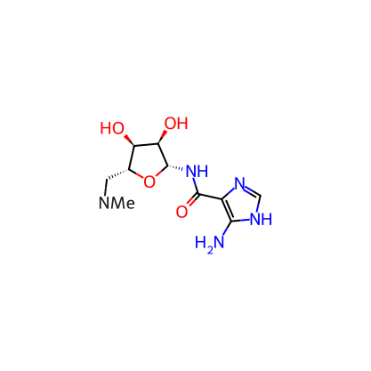 CNC[C@H]1O[C@@H](NC(=O)c2nc[nH]c2N)[C@H](O)[C@@H]1O